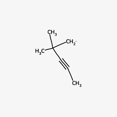 [CH2]C(C)(C)C#CC